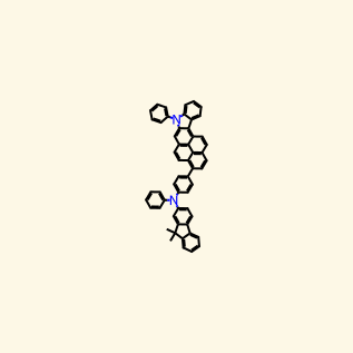 CC1(C)c2ccccc2-c2ccc(N(c3ccccc3)c3ccc(-c4ccc5ccc6c7c(ccc4c57)cc4c6c5ccccc5n4-c4ccccc4)cc3)cc21